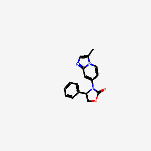 Cc1cnc2cc(N3C(=O)OCC3c3ccccc3)ccn12